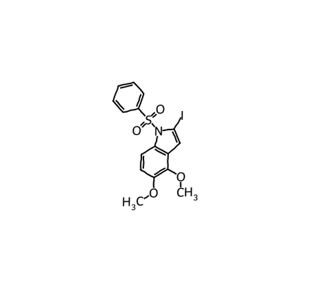 COc1ccc2c(cc(I)n2S(=O)(=O)c2ccccc2)c1OC